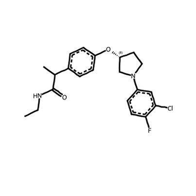 CCNC(=O)C(C)c1ccc(O[C@@H]2CCN(c3ccc(F)c(Cl)c3)C2)cc1